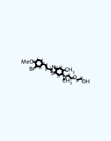 COc1ccc(/C=C/c2nc3cc(C)c(N(C)CCOCCO)cc3s2)cc1Br